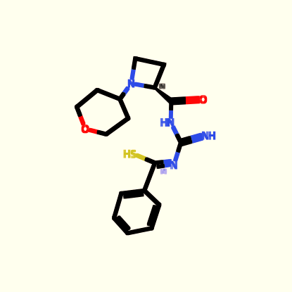 N=C(/N=C(\S)c1ccccc1)NC(=O)[C@@H]1CCN1C1CCOCC1